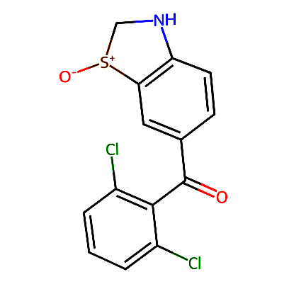 O=C(c1ccc2c(c1)[S+]([O-])CN2)c1c(Cl)cccc1Cl